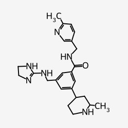 Cc1ccc(CNC(=O)c2cc(CNC3=NCCN3)cc(C3CCNC(C)C3)c2)cn1